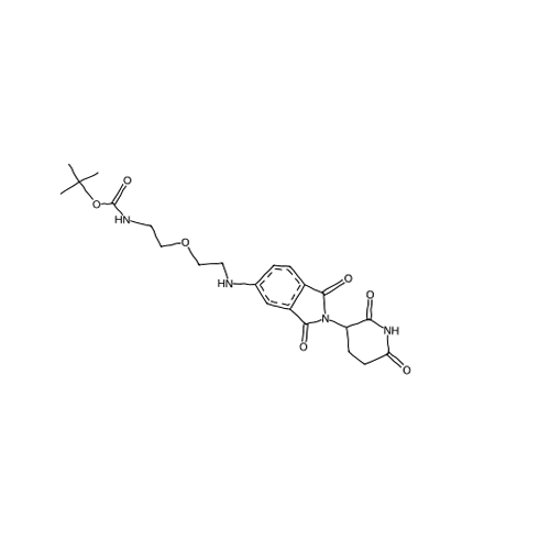 CC(C)(C)OC(=O)NCCOCCNc1ccc2c(c1)C(=O)N(C1CCC(=O)NC1=O)C2=O